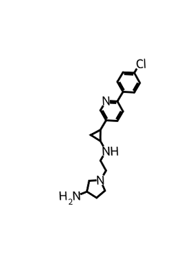 NC1CCN(CCNC2CC2c2ccc(-c3ccc(Cl)cc3)nc2)C1